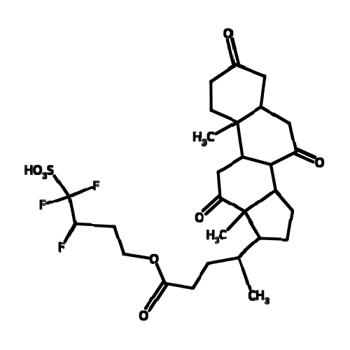 CC(CCC(=O)OCCC(F)C(F)(F)S(=O)(=O)O)C1CCC2C3C(=O)CC4CC(=O)CCC4(C)C3CC(=O)C12C